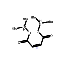 C[C](C)(C)[SnH]([O]C(=O)/C=C\C(=O)[O][SnH]([C](C)(C)C)[C](C)(C)C)[C](C)(C)C